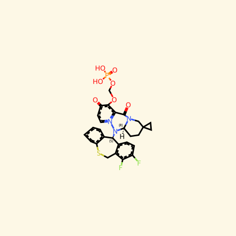 O=C1c2c(OCOP(=O)(O)O)c(=O)ccn2N([C@@H]2c3ccccc3SCc3c2ccc(F)c3F)[C@@H]2CCC3(CC3)CN12